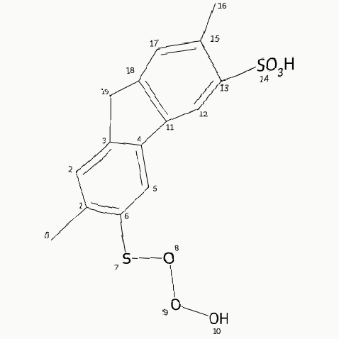 Cc1cc2c(cc1SOOO)-c1cc(S(=O)(=O)O)c(C)cc1C2